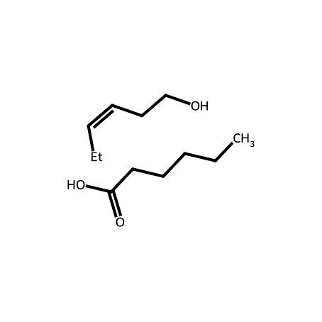 CC/C=C\CCO.CCCCCC(=O)O